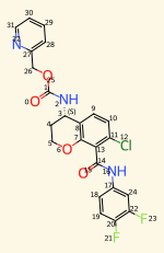 O=C(N[C@H]1CCOc2c1ccc(Cl)c2C(=O)Nc1ccc(F)c(F)c1)OCc1ccccn1